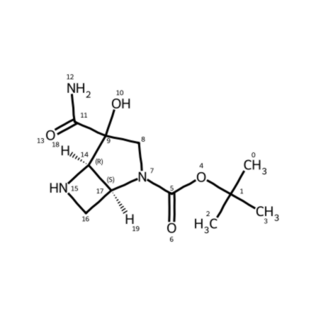 CC(C)(C)OC(=O)N1CC(O)(C(N)=O)[C@@H]2NC[C@@H]21